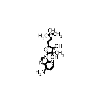 C=P(C)(C)CCC1OC(n2cnc3c(N)ccnc32)[C@](C)(O)[C@@H]1O